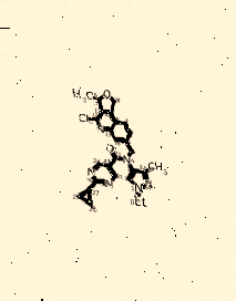 CCn1cc(N(Cc2ccc3c4c(c(Cl)nc3c2)[C@@H](C)OC4)C(=O)c2cnc(C3CC3)nc2)c(C)n1